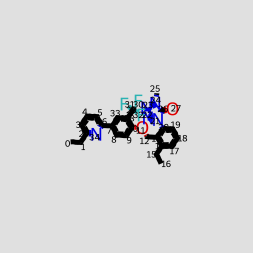 CCc1cccc(-c2ccc(OCc3c(CC)cccc3-n3nnn(C)c3=O)c(C(F)(F)F)c2)n1